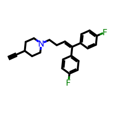 C#CC1CCN(CCC=C(c2ccc(F)cc2)c2ccc(F)cc2)CC1